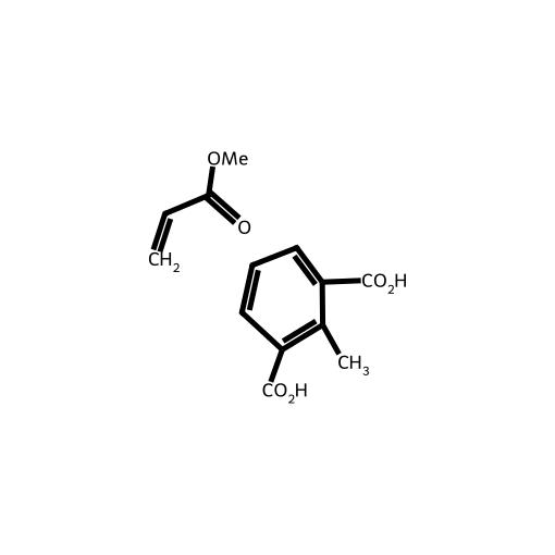 C=CC(=O)OC.Cc1c(C(=O)O)cccc1C(=O)O